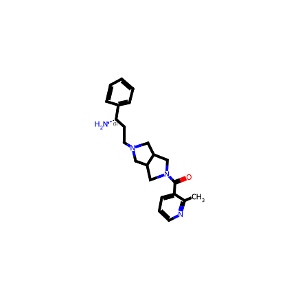 Cc1ncccc1C(=O)N1CC2CN(CC[C@H](N)c3ccccc3)CC2C1